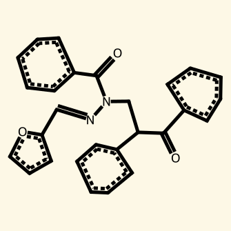 O=C(c1ccccc1)C(CN(N=Cc1ccco1)C(=O)c1ccccc1)c1ccccc1